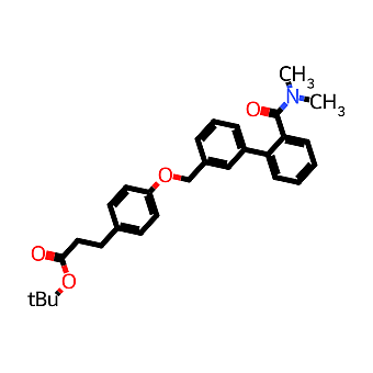 CN(C)C(=O)c1ccccc1-c1cccc(COc2ccc(CCC(=O)OC(C)(C)C)cc2)c1